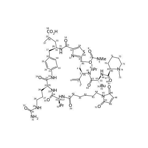 C=C(C)[C@@H](C[C@@H](OC(=O)NC)c1nc(C(=O)N[C@@H](Cc2ccc(NC(=O)[C@H](CCCNC(N)=O)NC(=O)[C@@H](NC(=O)CCCCCN3C(=O)C=CC3=O)C(C)C)cc2)C[C@H](C)C(=O)O)cs1)N(CCC)C(=O)[C@@H](NC(=O)[C@H]1CCCCN1C)[C@@H](C)CC